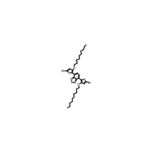 CCCCCCCCCCOc1cc(Br)sc1-c1ccc(-c2sc(Br)cc2OCCCCCCCCCC)c2nsnc12